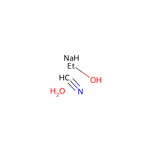 C#N.CCO.O.[NaH]